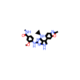 CNC(=O)c1ccc(Nc2nc(NC3CC3)c3c(-c4ccc5nc(C)oc5c4)c[nH]c3n2)c(OC)c1